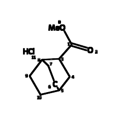 COC(=O)C1CC2CCC1CC2.Cl